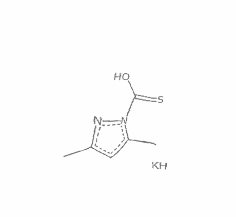 Cc1cc(C)n(C(O)=S)n1.[KH]